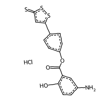 Cl.Nc1ccc(O)c(C(=O)Oc2ccc(-c3cc(=S)ss3)cc2)c1